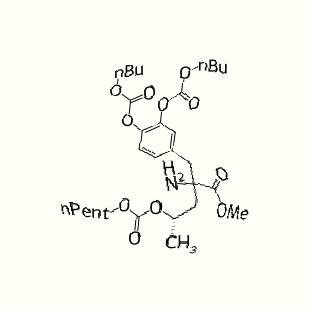 CCCCCOC(=O)O[C@@H](C)CC(N)(Cc1ccc(OC(=O)OCCCC)c(OC(=O)OCCCC)c1)C(=O)OC